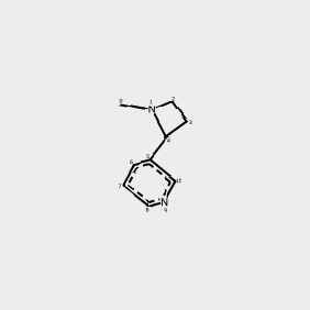 CN1CCC1c1cccnc1